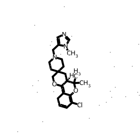 Cn1cncc1CN1CCC2(CC1)COC1=C3CC=CC(Cl)=C3OC(C)(C)[C@H]1C2